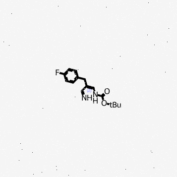 CC(C)(C)OC(=O)N/C=C(\C=N)Cc1ccc(F)cc1